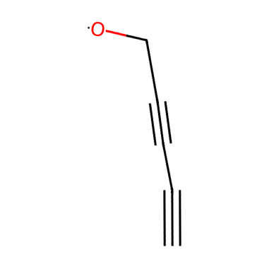 C#CC#CC[O]